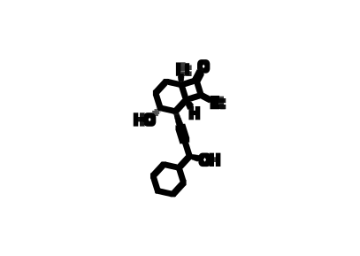 CCC1C(=O)[C@@]2(CC)CC[C@@H](O)[C@H](C#C[C@@H](O)C3CCCCC3)[C@@H]12